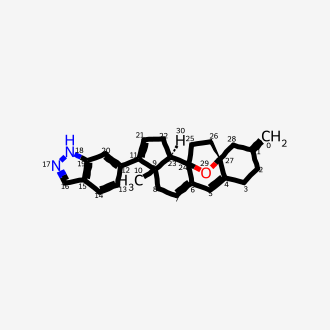 C=C1CCC2=CC3=CCC4(C)C(c5ccc6cn[nH]c6c5)=CC[C@H]4C34CC[C@]2(C1)O4